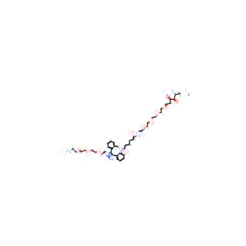 CC(C)[C@H](N)C(=O)C(=O)CCOCCOCCOCCOCCNC(=O)CCCCC(=O)N1Cc2ccccc2-c2c(nnn2CCOCCOCCOCCN)-c2ccccc21